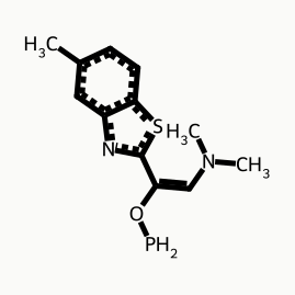 Cc1ccc2sc(/C(=C\N(C)C)OP)nc2c1